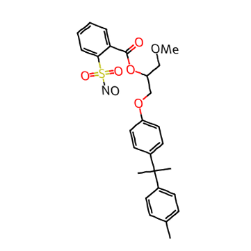 COCC(COc1ccc(C(C)(C)c2ccc(C)cc2)cc1)OC(=O)c1ccccc1S(=O)(=O)N=O